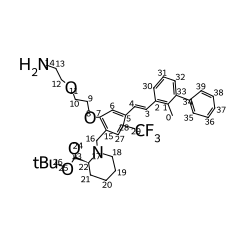 Cc1c(/C=C/c2cc(OCCOCCN)c(CN3CCCC[C@H]3C(=O)OC(C)(C)C)cc2C(F)(F)F)cccc1-c1ccccc1